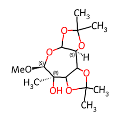 CO[C@H]1OC2OC(C)(C)O[C@H]2C2OC(C)(C)OC2[C@@]1(C)O